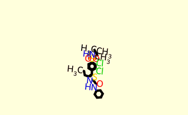 CCCc1nc(C(=O)NC2CCCCC2)sc1-c1ccc(S(=O)(=O)NC(C)(C)C)c(Cl)c1Cl